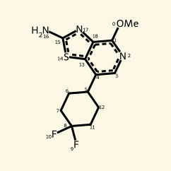 COc1ncc(C2CCC(F)(F)CC2)c2sc(N)nc12